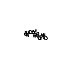 O=C(Nc1cccc(-c2nnc3n2CCCC3)n1)c1cc2c(cc1F)CCN(c1ncccn1)C2